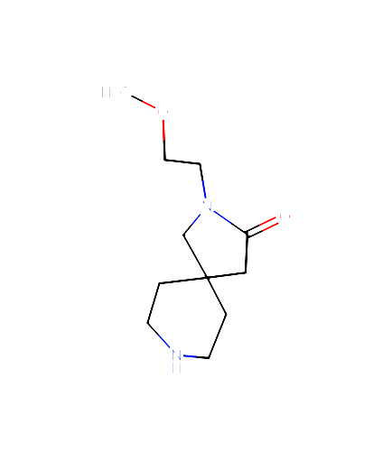 COCCN1CC2(CCNCC2)CC1=O